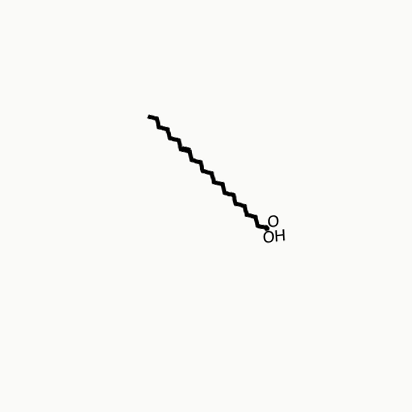 CCCCCCC=CCCCCCCCCCCCCCC(=O)O